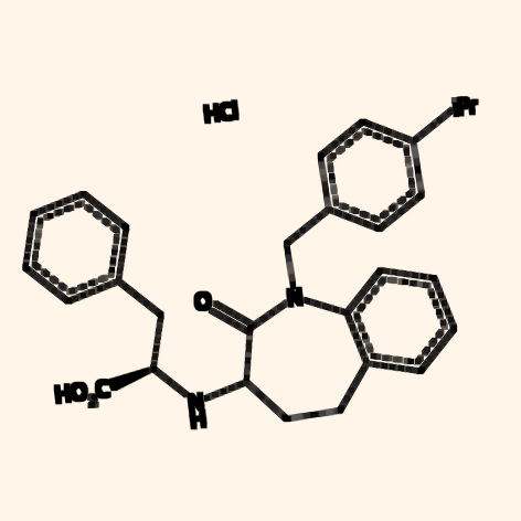 CC(C)c1ccc(CN2C(=O)C(N[C@H](Cc3ccccc3)C(=O)O)CCc3ccccc32)cc1.Cl